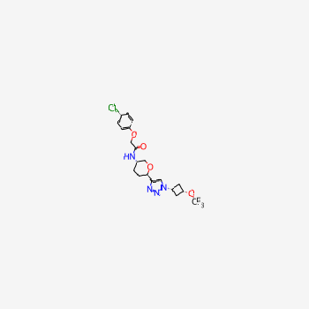 O=C(COc1ccc(Cl)cc1)N[C@H]1CC[C@H](c2cn([C@H]3C[C@@H](OC(F)(F)F)C3)nn2)OC1